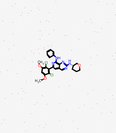 COc1cc(OC)c(Cl)c(-c2cc3cnc(N[C@H]4CCCOC4)nc3c(Nc3ccccc3)n2)c1Cl